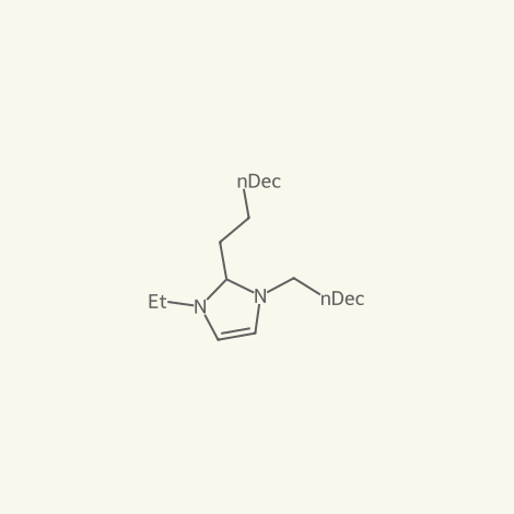 CCCCCCCCCCCCC1N(CC)C=CN1CCCCCCCCCCC